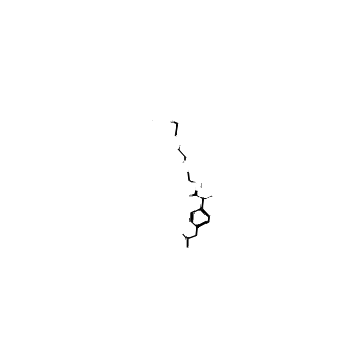 CC(C)Cc1ccc(C(C)C(=O)NCCOCCOCCN)cc1